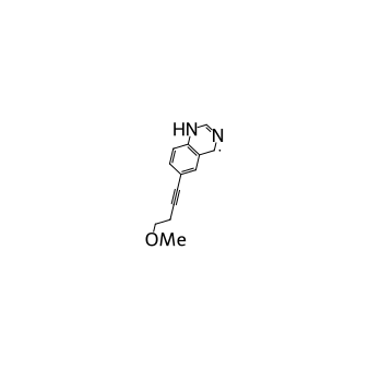 COCCC#Cc1ccc2c(c1)[CH]N=CN2